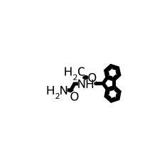 C=C(NCC(N)=O)OCC1c2ccccc2-c2ccccc21